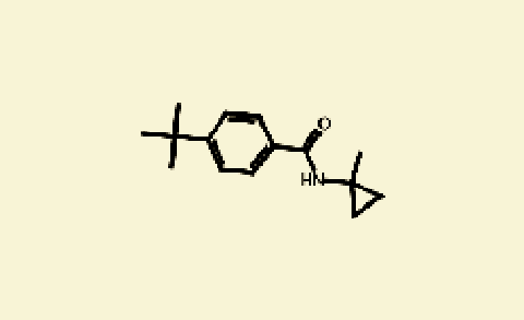 CC1(NC(=O)c2ccc(C(C)(C)C)cc2)CC1